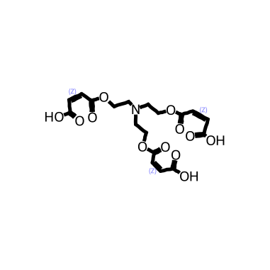 O=C(O)/C=C\C(=O)OCCN(CCOC(=O)/C=C\C(=O)O)CCOC(=O)/C=C\C(=O)O